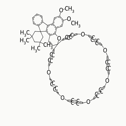 COc1cc2c3c(c4c(c2cc1OC)-c1ccccc1C41CC(C)(C)CC(C)(C)C1)C=CC1(O3)c2ccc(cc2)Oc2ccc(cc2)Oc2ccc(cc2)Oc2ccc(cc2)Oc2ccc(cc2)Oc2ccc(cc2)Oc2ccc1cc2